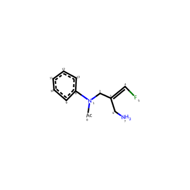 CC(=O)N(CC(=CF)CN)c1ccccc1